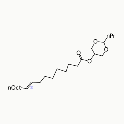 CCCCCCCC/C=C/CCCCCCCC(=O)OC1COC(CCC)OC1